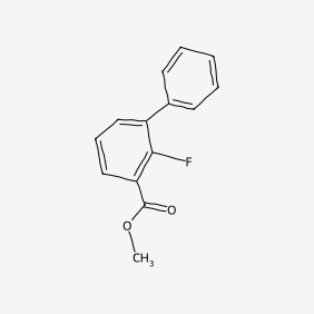 COC(=O)c1cccc(-c2ccccc2)c1F